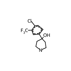 OC1(c2ccc(Cl)c(C(F)(F)F)c2)CC[N]CC1